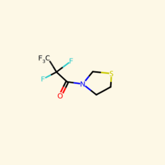 O=C(N1CCSC1)C(F)(F)C(F)(F)F